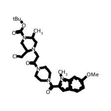 COc1ccc2cc(C(=O)N3CCN(C(=O)CN4CC(C)N(C(=O)OC(C)(C)C)CC4CCl)CC3)n(C)c2c1